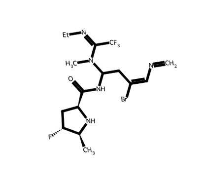 C=N/C=C(/Br)CC(NC(=O)[C@@H]1C[C@@H](F)[C@H](C)N1)N(C)/C(=N\CC)C(F)(F)F